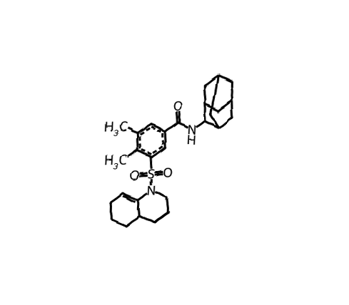 Cc1cc(C(=O)NC2C3CC4CC(C3)CC2C4)cc(S(=O)(=O)N2CCCC3CCCC=C32)c1C